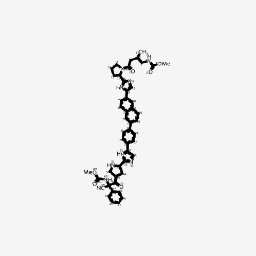 COC(=O)NCC(C)CC(=O)N1CCCC1c1ncc(-c2ccc3cc(-c4ccc(-c5cnc(C6CC(C(=O)C(C#N)(NC(=O)OC)c7ccccc7)CN6)[nH]5)cc4)ccc3c2)[nH]1